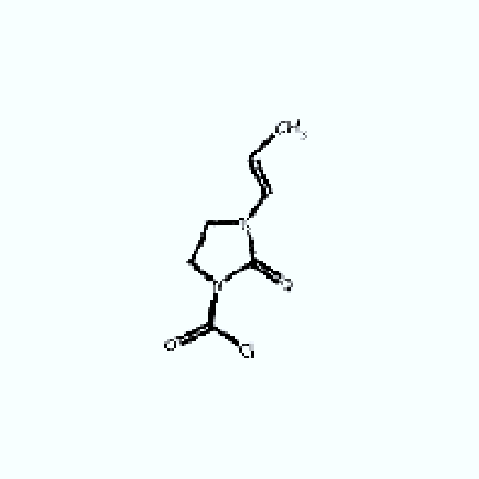 CC=CN1CCN(C(=O)Cl)C1=O